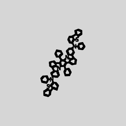 c1ccc(-c2c3c4cccc5c6cc(N(c7ccccc7)c7cccc8c7sc7ccccc78)ccc6n(c3c(-c3ccccc3)c3c6cccc7c8cc(N(c9ccccc9)c9cccc%10c9sc9ccccc9%10)ccc8n(c23)c76)c54)cc1